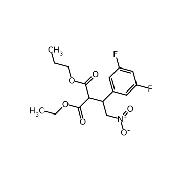 CCCOC(=O)C(C(=O)OCC)C(C[N+](=O)[O-])c1cc(F)cc(F)c1